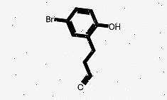 O=[C]CCc1cc(Br)ccc1O